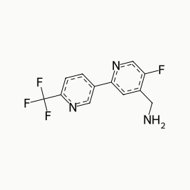 NCc1cc(-c2ccc(C(F)(F)F)nc2)ncc1F